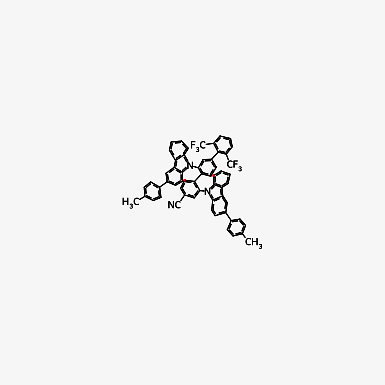 Cc1ccc(-c2ccc3c(c2)c2ccccc2n3-c2cc(C#N)ccc2-c2ccc(-c3c(C(F)(F)F)cccc3C(F)(F)F)cc2-n2c3ccccc3c3cc(-c4ccc(C)cc4)ccc32)cc1